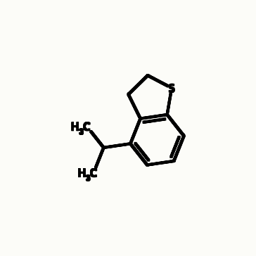 CC(C)c1cccc2c1CCS2